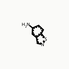 Nc1ccc2sn[c]c2c1